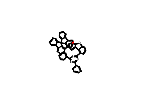 c1ccc(-c2nc(-c3ccccc3)nc(-c3cccc4oc5ccc(-c6cccc7c6C6(c8ccccc8-c8ccccc86)c6ccccc6-7)cc5c34)n2)cc1